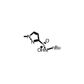 CCCCNS(=O)(=O)c1ccn(C)n1